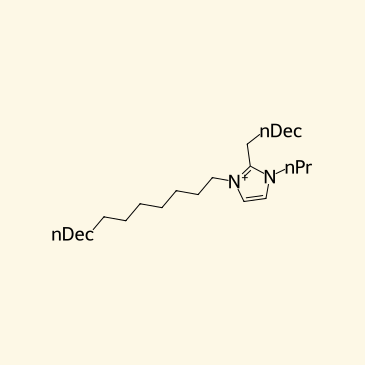 CCCCCCCCCCCCCCCCC[n+]1ccn(CCC)c1CCCCCCCCCCC